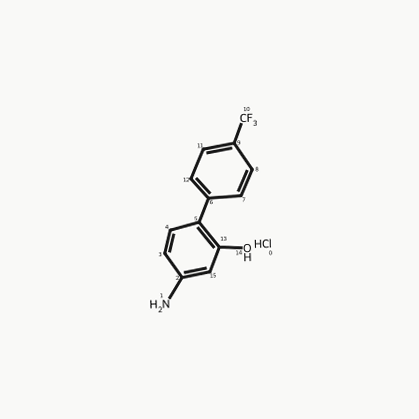 Cl.Nc1ccc(-c2ccc(C(F)(F)F)cc2)c(O)c1